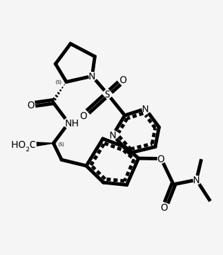 CN(C)C(=O)Oc1ccc(C[C@H](NC(=O)[C@@H]2CCCN2S(=O)(=O)c2ncccn2)C(=O)O)cc1